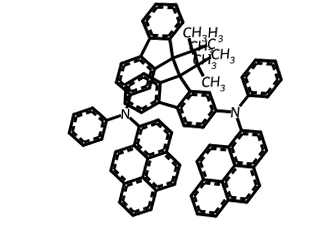 CC(C)(C)C1(C2(C(C)(C)C)c3ccccc3-c3ccc(N(c4ccccc4)c4ccc5ccc6cccc7ccc4c5c67)cc32)c2ccccc2-c2ccc(N(c3ccccc3)c3ccc4ccc5cccc6ccc3c4c56)cc21